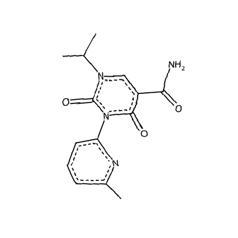 Cc1cccc(-n2c(=O)c(C(N)=O)cn(C(C)C)c2=O)n1